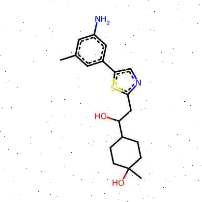 Cc1cc(N)cc(-c2cnc(CC(O)C3CCC(C)(O)CC3)s2)c1